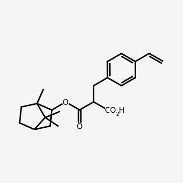 C=Cc1ccc(CC(C(=O)O)C(=O)OC2CC3CCC2(C)C3(C)C)cc1